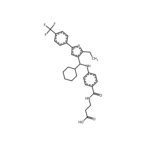 CCc1sc(-c2ccc(C(F)(F)F)cc2)cc1C(Nc1ccc(C(=O)NCCC(=O)O)cc1)C1CCCCC1